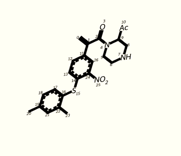 C=C(C(=O)N1CCNCC1C(C)=O)c1ccc(Sc2ccc(C)cc2C)c([N+](=O)[O-])c1